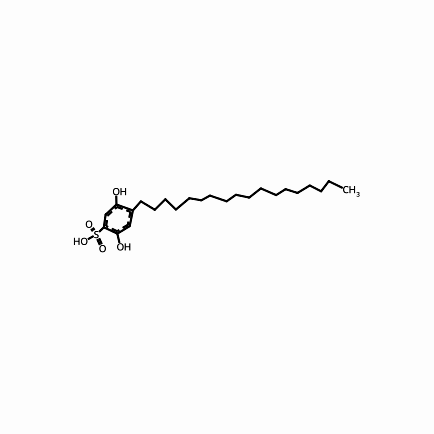 CCCCCCCCCCCCCCCCCCc1cc(O)c(S(=O)(=O)O)cc1O